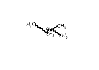 CCCCCCCCCCCC(C)C(=O)OCC(CCCC)CCCCCCC